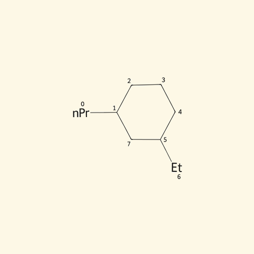 [CH2]CCC1CCCC(CC)C1